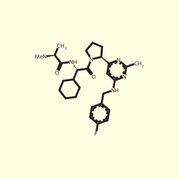 CN[C@@H](C)C(=O)N[C@H](C(=O)N1CCC[C@H]1c1cc(NCc2ccc(F)cc2)nc(C)n1)C1CCCCC1